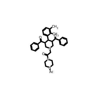 CC(=O)N1CCN(C(=O)CN2CC(C(=O)c3ccccc3)C(c3cccc(C)c3C)C(C(=O)c3ccccc3)C2)CC1